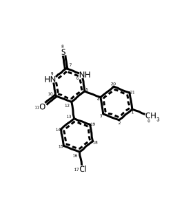 Cc1ccc(-c2[nH]c(=S)[nH]c(=O)c2-c2ccc(Cl)cc2)cc1